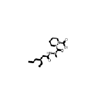 C=C/C=C(\C=C)CC(=O)NN(C)C(=O)N1CCCCN1C(=O)CC